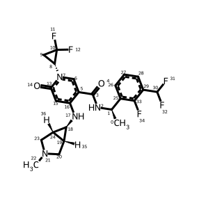 C[C@@H](NC(=O)c1cn([C@@H]2CC2(F)F)c(=O)cc1N[C@H]1[C@@H]2CN(C)C[C@@H]21)c1cccc(C(F)F)c1F